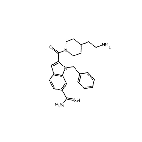 N=C(N)c1ccc2cc(C(=O)N3CCC(CCN)CC3)n(Cc3ccccc3)c2c1